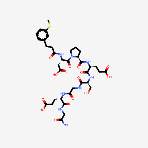 CSc1cccc(CCC(=O)N[C@@H](CC(=O)O)C(=O)N2CCC[C@H]2C(=O)N[C@@H](CCC(=O)O)C(=O)N[C@@H](CO)C(=O)NCC(=O)N[C@@H](CCC(=O)O)C(=O)NCC(N)=O)c1